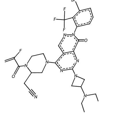 C=C(F)C(=O)N1CCN(c2nc(N3CC(N(CC)CC)C3)nc3c(=O)n(-c4cccc(Br)c4C(F)(F)F)ncc23)CC1CC#N